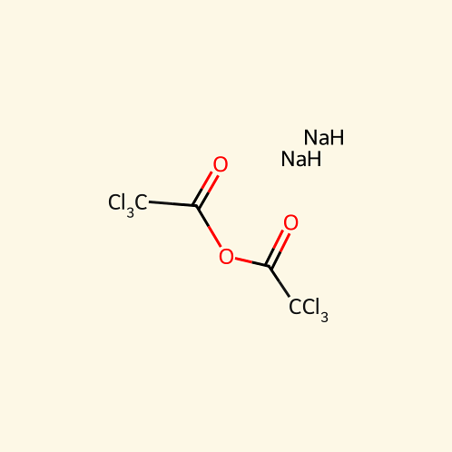 O=C(OC(=O)C(Cl)(Cl)Cl)C(Cl)(Cl)Cl.[NaH].[NaH]